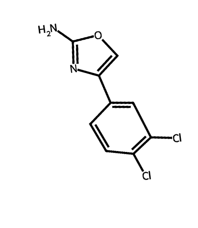 Nc1nc(-c2ccc(Cl)c(Cl)c2)co1